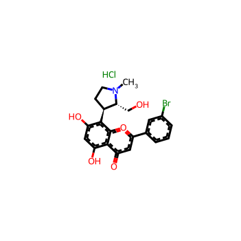 CN1CC[C@H](c2c(O)cc(O)c3c(=O)cc(-c4cccc(Br)c4)oc23)[C@H]1CO.Cl